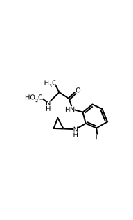 CC(NC(=O)O)C(=O)Nc1cccc(F)c1NC1CC1